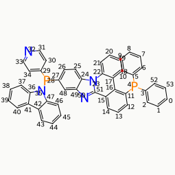 c1ccc(P(c2ccccc2)c2cccc3c2c2ccccc2n2c4ccc(P(c5ccncc5)n5c6ccccc6c6ccccc65)cc4nc32)cc1